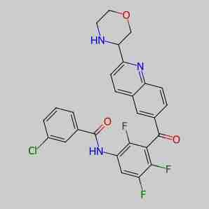 O=C(Nc1cc(F)c(F)c(C(=O)c2ccc3nc(C4COCCN4)ccc3c2)c1F)c1cccc(Cl)c1